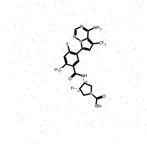 Cc1cc(F)c(-c2cc(C(F)(F)F)c3c(N)ncnn23)cc1C(=O)N[C@@H]1CN(C(=O)C(C)(C)C)C[C@@H]1F